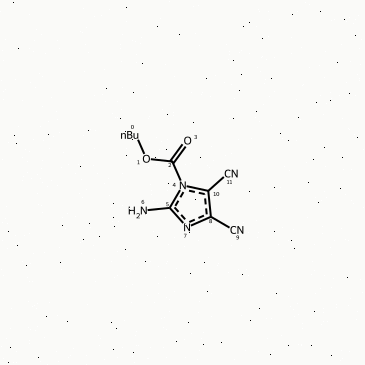 CCCCOC(=O)n1c(N)nc(C#N)c1C#N